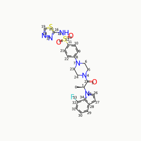 C[C@@H](C(=O)N1CCN(c2ccc(S(=O)(=O)Nc3nncs3)cc2)CC1)n1ccc2cccc(F)c21